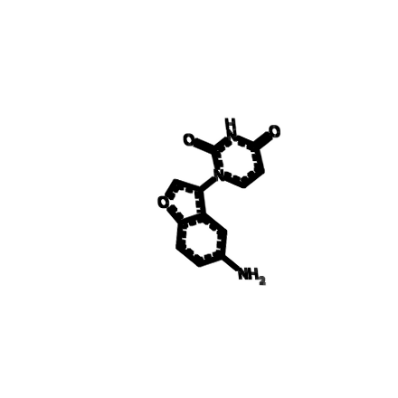 Nc1ccc2occ(-n3ccc(=O)[nH]c3=O)c2c1